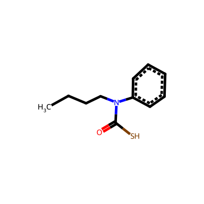 CCCCN(C(=O)S)c1ccccc1